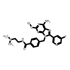 CCOc1nc(N)c2nc(-c3cncc(F)c3)n(Cc3ccc(C(=O)NCCN(C)C)cc3)c2n1